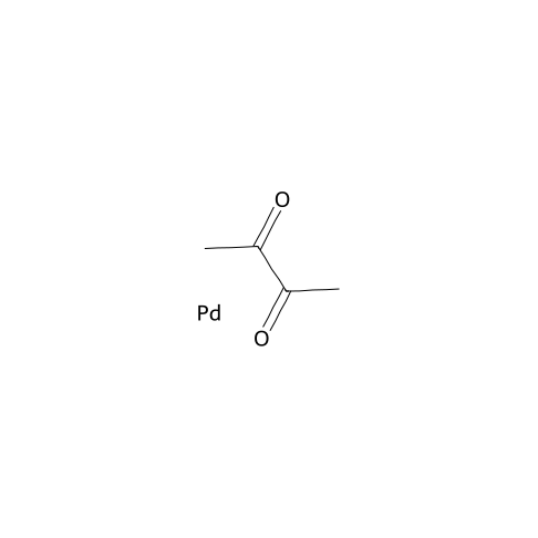 CC(=O)C(C)=O.[Pd]